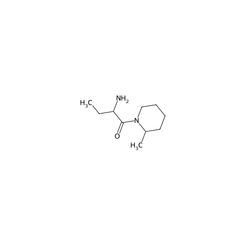 CCC(N)C(=O)N1CCCCC1C